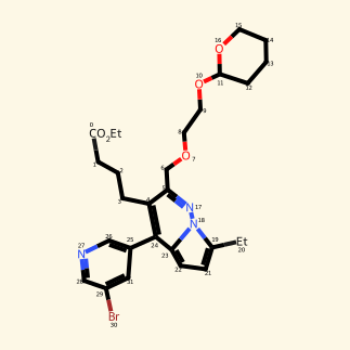 CCOC(=O)CCCc1c(COCCOC2CCCCO2)nn2c(CC)ccc2c1-c1cncc(Br)c1